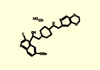 COc1ccc2ncc(F)c(C(O)CN3CCC(NCc4cc5c(cn4)OCCO5)CC3)c2c1.Cl.Cl